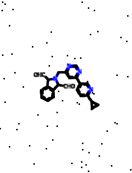 O=CC1c2ccccc2C(C=O)N1Cc1cc(-c2ccc(C3CC3)nc2)ncn1